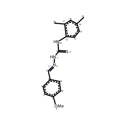 COc1ccc(/C=N/NC(=S)Nc2ccc(C)cc2C)cc1